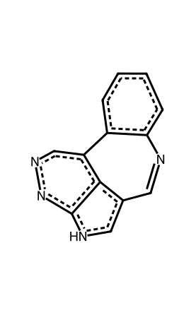 C1=Nc2ccccc2-c2cnnc3[nH]cc1c23